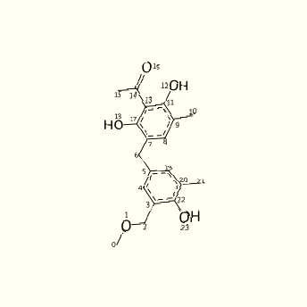 COCc1cc(Cc2cc(C)c(O)c(C(C)=O)c2O)cc(C)c1O